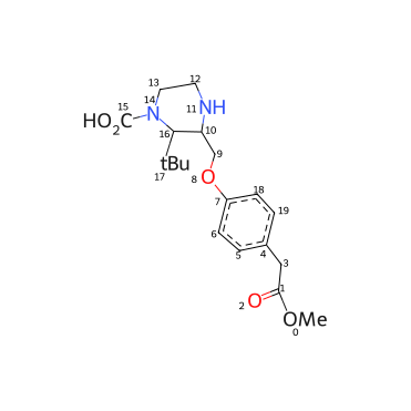 COC(=O)Cc1ccc(OCC2NCCN(C(=O)O)C2C(C)(C)C)cc1